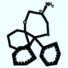 N[C@@H]1COC2(CCCCC2)C(c2ccccc2)(c2ccccc2)SC1